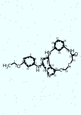 CCOc1cccc(Nc2nc3nc4c(cnn24)CCCCC(=O)Nc2cccc(c2)N3)c1